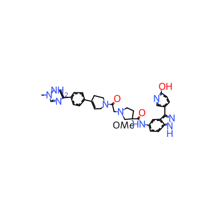 C=C(/N=C\N(C)N)c1ccc(C2=CCN(C(=O)CN3CC[C@@](OC)(C(=O)Nc4ccc5[nH]nc(-c6ccc(O)nc6)c5c4)C3)CC2)cc1